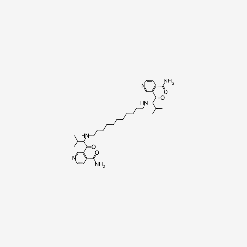 CC(C)C(NCCCCCCCCCCCNC(C(=O)c1cnccc1C(N)=O)C(C)C)C(=O)c1cnccc1C(N)=O